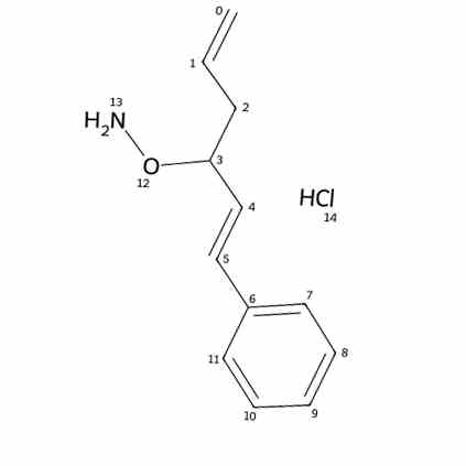 C=CCC(C=Cc1ccccc1)ON.Cl